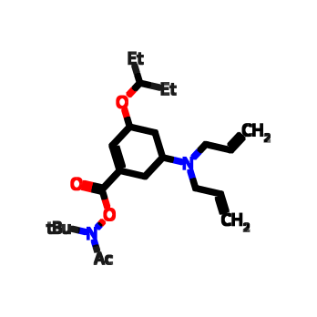 C=CCN(CC=C)C1CC(C(=O)ON(C(C)=O)C(C)(C)C)=CC(OC(CC)CC)C1